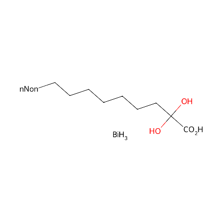 CCCCCCCCCCCCCCCCC(O)(O)C(=O)O.[BiH3]